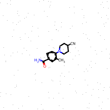 Cc1cc(C(N)=O)ccc1N1CCC(C#N)CC1